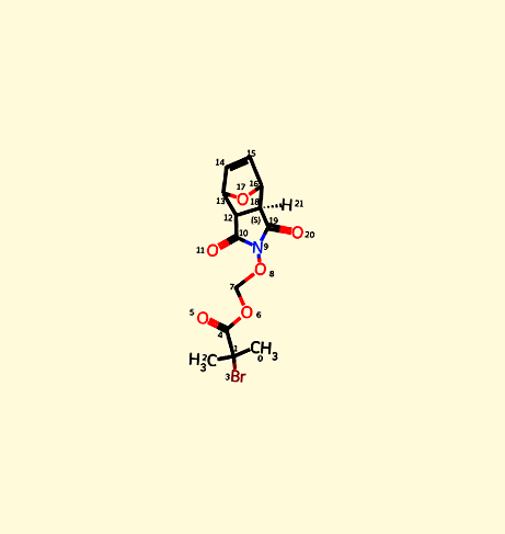 CC(C)(Br)C(=O)OCON1C(=O)C2C3C=CC(O3)[C@H]2C1=O